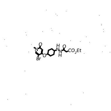 CCOC(=O)CC(=O)NNC1CCC(Oc2cc(=O)n(C)cc2Br)CC1